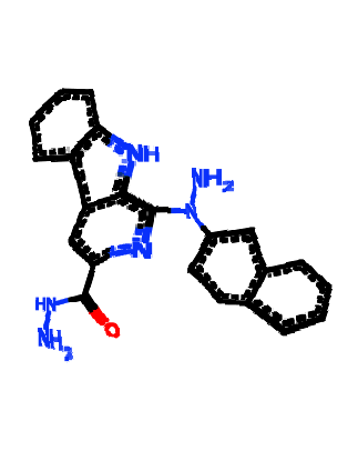 NNC(=O)c1cc2c([nH]c3ccccc32)c(N(N)c2ccc3ccccc3c2)n1